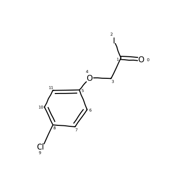 O=C(I)COc1ccc(Cl)cc1